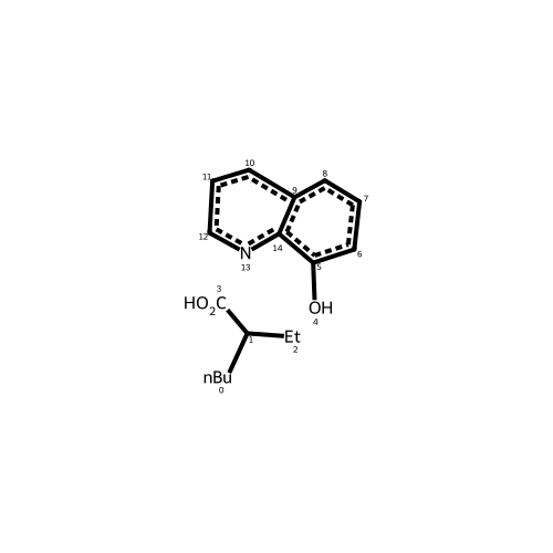 CCCCC(CC)C(=O)O.Oc1cccc2cccnc12